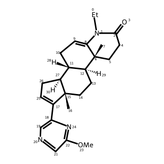 CCN1C(=O)CC[C@@]2(C)C1=CC[C@@H]1[C@@H]2CC[C@]2(C)C(c3cncc(OC)n3)=CC[C@@H]12